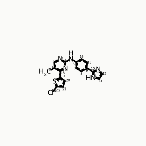 Cc1cnc(Nc2ccc(-c3ncc[nH]3)cc2)nc1-c1ccc(Cl)s1